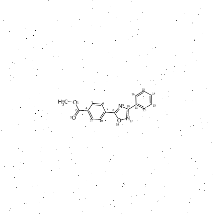 COC(=O)c1ccc(-c2nc(-c3ccccc3)no2)cc1